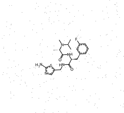 CC(C)N(C)[C@@H](C)C(=O)N[C@@H](Cc1cccc(F)c1)C(=O)NCc1cnc(N)s1